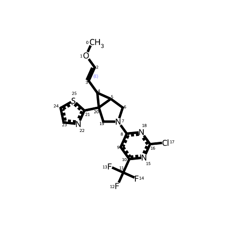 CO/C=C/C1C2CN(c3cc(C(F)(F)F)nc(Cl)n3)CC12c1nccs1